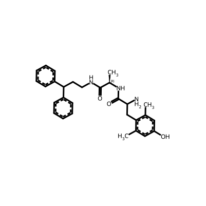 Cc1cc(O)cc(C)c1CC(N)C(=O)N[C@H](C)C(=O)NCCC(c1ccccc1)c1ccccc1